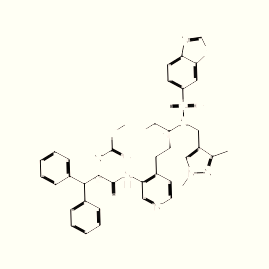 COC(=O)N[C@H](C(=O)Nc1cnccc1CC[C@@H](CO)N(Cc1cn(C)nc1C)S(=O)(=O)c1ccc2ncsc2c1)C(c1ccccc1)c1ccccc1